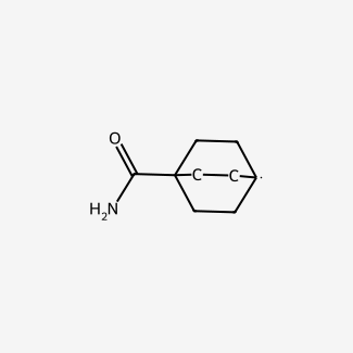 NC(=O)C12CC[C](CC1)CC2